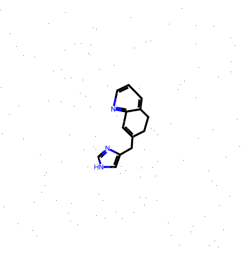 C1=C(Cc2c[nH]cn2)CCc2cccnc21